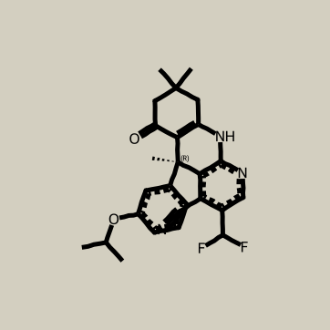 CC(C)Oc1cccc([C@@]2(C)C3=C(CC(C)(C)CC3=O)Nc3ncc(C(F)F)c(C#N)c32)c1